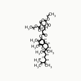 CCOC(=O)[PH](=O)C(CCC(=O)Oc1cc2c(c(C)c1C)OC(C)(C(C)CCCC(C)C(C)C)CC2)[PH](=O)C(=O)OCC